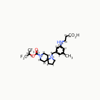 Cc1cc(CN2CCCC23CCN(C(=O)OC(C(F)(F)F)C(F)(F)F)CC3)cc(NCCC(=O)O)c1